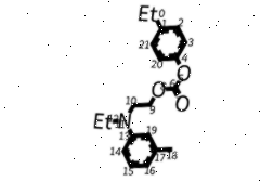 CCc1ccc(OC(=O)OCCN(CC)c2cccc(C)c2)cc1